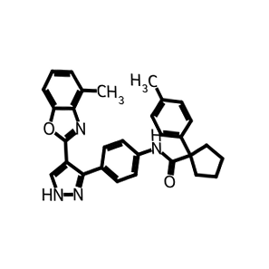 Cc1ccc(C2(C(=O)Nc3ccc(-c4n[nH]cc4-c4nc5c(C)cccc5o4)cc3)CCCC2)cc1